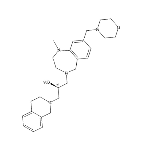 CN1CCN(C[C@H](O)CN2CCc3ccccc3C2)Cc2ccc(CN3CCOCC3)cc21